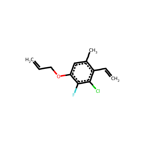 C=CCOc1cc(C)c(C=C)c(Cl)c1F